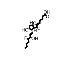 CCCCC(F)[C@H](O)/C=C/[C@@H]1[C@H]2C(F)/C(=C/CCCC(=O)O)O[C@@H]2C[C@H]1O